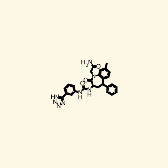 Cc1ccc2c(c1)N(CC(N)=O)C(=O)C(NC(=O)Nc1cccc(-c3nnn[nH]3)c1)CC2c1ccccc1